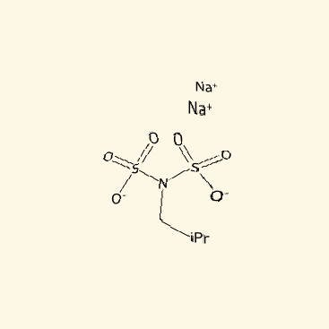 CC(C)CN(S(=O)(=O)[O-])S(=O)(=O)[O-].[Na+].[Na+]